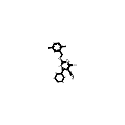 Cc1ccc(C)c(CSc2nc(C3CCCCC3)c(C#N)c(=O)[nH]2)c1